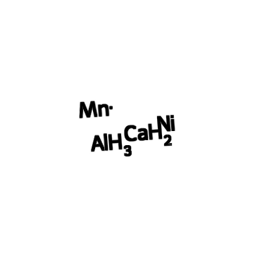 [AlH3].[CaH2].[Mn].[Ni]